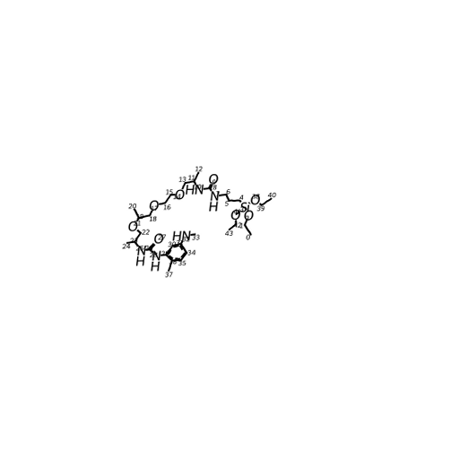 CCO[Si](CCCNC(=O)NC(C)COCCOCC(C)OCC(C)NC(=O)Nc1cc(NC)ccc1C)(OCC)OCC